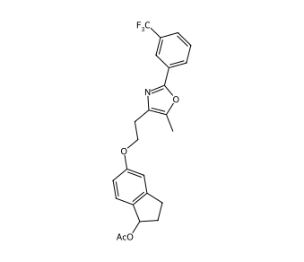 CC(=O)OC1CCc2cc(OCCc3nc(-c4cccc(C(F)(F)F)c4)oc3C)ccc21